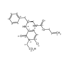 C=CCOC(=O)NC[C@H](Cc1ccccc1)Nc1ncc(Cl)n(CC(=O)O)c1=O